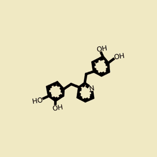 Oc1ccc(Cc2cccnc2Cc2ccc(O)c(O)c2)cc1O